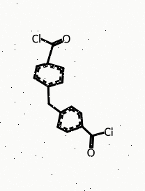 O=C(Cl)c1ccc(Cc2ccc(C(=O)Cl)cc2)cc1